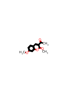 COc1ccc2c(c1)OC(OC)C(C(C)=O)=C2